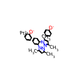 Cc1cc(C)n(-c2ccccc2-n2nc(C)cc2C)n1.[O-]c1ccccc1.[O-]c1ccccc1.[Pt+2]